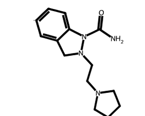 NC(=O)N1c2cc[c]cc2CN1CCN1CCCC1